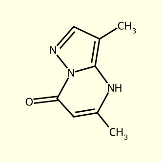 Cc1cc(=O)n2ncc(C)c2[nH]1